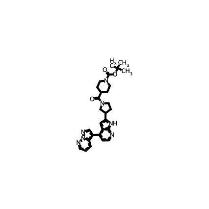 CC(C)(C)OC(=O)N1CCC(C(=O)N2CCC(c3cc4c(-c5cnn6ncccc56)ccnc4[nH]3)C2)CC1